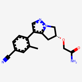 Cc1cc(C#N)ccc1-c1cnn2c1C[C@@H](OCC(N)=O)C2